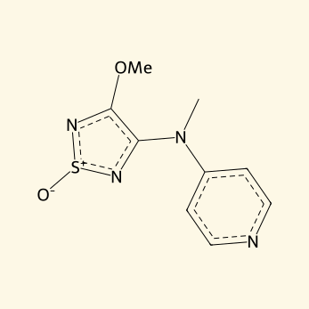 COc1n[s+]([O-])nc1N(C)c1ccncc1